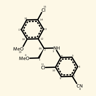 COC[C@H](Nc1ccc(C#N)cc1Cl)c1cc(Cl)ccc1OC